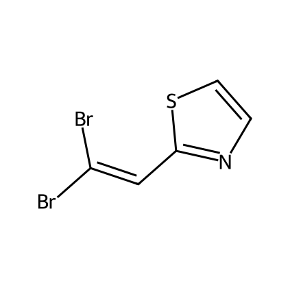 BrC(Br)=Cc1nccs1